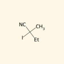 CCC(C)(I)C#N